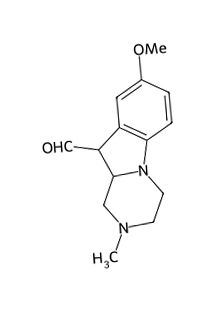 COc1ccc2c(c1)C(C=O)C1CN(C)CCN21